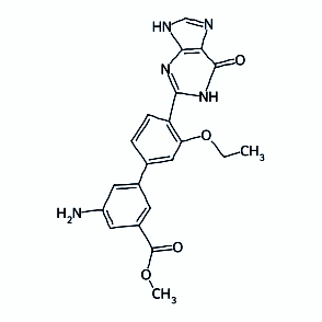 CCOc1cc(-c2cc(N)cc(C(=O)OC)c2)ccc1-c1nc2[nH]cnc2c(=O)[nH]1